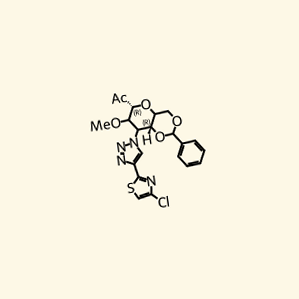 COC1C(n2cc(-c3nc(Cl)cs3)nn2)[C@H]2OC(c3ccccc3)OCC2O[C@H]1C(C)=O